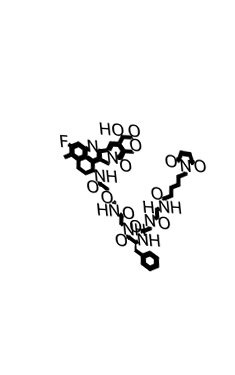 Cc1c(F)cc2nc3c(c4c2c1CC[C@@H]4NC(=O)COCNC(=O)CNC(=O)[C@H](Cc1ccccc1)NC(=O)CNC(=O)CNC(=O)CCCCCN1C(=O)C=CC1=O)Cn1c-3cc2c(c1=O)COC(=O)[C@H]2O